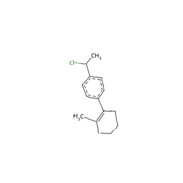 CC1=C(c2ccc(C(C)Cl)cc2)CCCC1